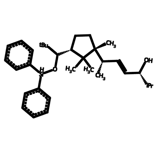 CC(C)[C@@H](O)C=C[C@H](C)[C@@]1(C)CC[C@@H](C(O[SiH](c2ccccc2)c2ccccc2)C(C)(C)C)C1(C)C